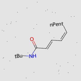 CCCCC/C=C\C=C\C(=O)NC(C)(C)C